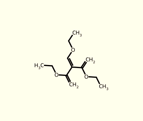 C=C(OCC)C(=COCC)C(=C)OCC